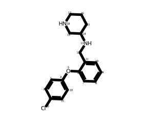 Clc1ccc(Oc2ccccc2CNC2CCCNC2)cc1